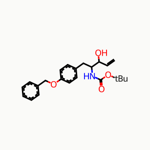 C=CC(O)C(Cc1ccc(OCc2ccccc2)cc1)NC(=O)OC(C)(C)C